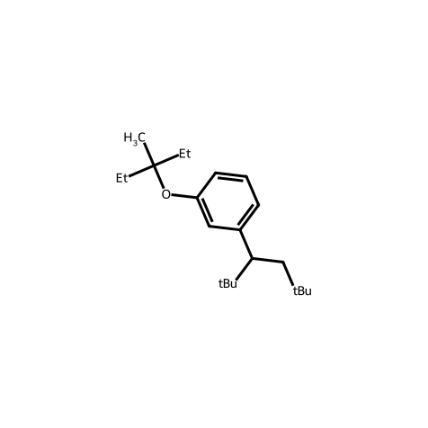 CCC(C)(CC)Oc1cccc(C(CC(C)(C)C)C(C)(C)C)c1